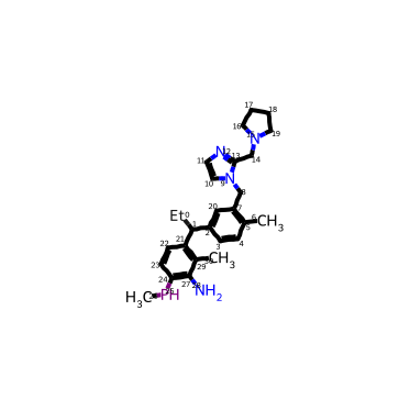 CCC(c1ccc(C)c(Cn2ccnc2CN2CCCC2)c1)c1ccc(PC)c(N)c1C